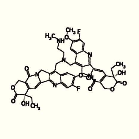 CC[C@@]1(O)C(=O)OCc2c1cc1n(c2=O)Cc2c-1nc1cc(F)c(OC)cc1c2CN(CCNC)Cc1c2c(nc3cc(F)c(OC)cc13)-c1cc3c(c(=O)n1C2)COC(=O)[C@]3(O)CC